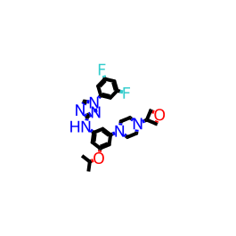 CC(C)Oc1cc(Nc2ncn(-c3cc(F)cc(F)c3)n2)cc(N2CCN(C3COC3)CC2)c1